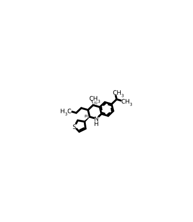 CCCC1[C@H](C2C=CSC2)Nc2ccc(C(C)C)cc2[C@H]1C